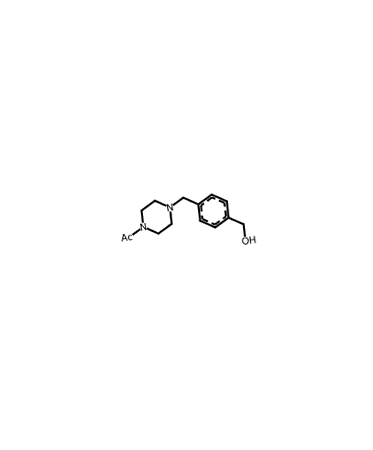 CC(=O)N1CCN(Cc2ccc(CO)cc2)CC1